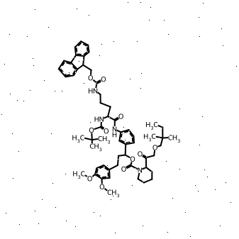 CCC(C)(C)COCC(=O)C1CCCCN1C(=O)OC(CCc1ccc(OC)c(OC)c1)c1cccc(NC(=O)C(CCCNC(=O)OCC2c3ccccc3-c3ccccc32)NC(=O)OC(C)(C)C)c1